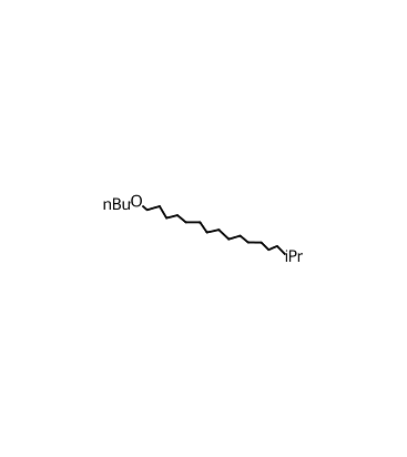 CCCCOCCCCCCCCCCCCCCC(C)C